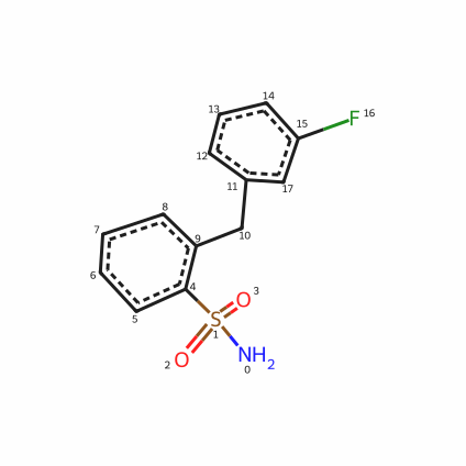 NS(=O)(=O)c1ccccc1Cc1cccc(F)c1